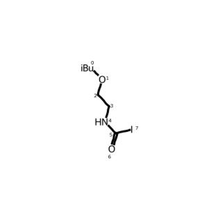 CCC(C)OCCNC(=O)I